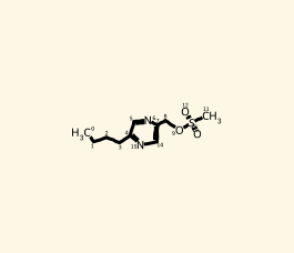 CCCCc1cnc(COS(C)(=O)=O)cn1